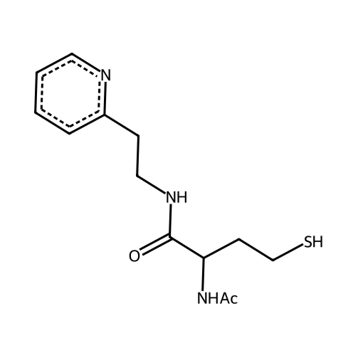 CC(=O)NC(CCS)C(=O)NCCc1ccccn1